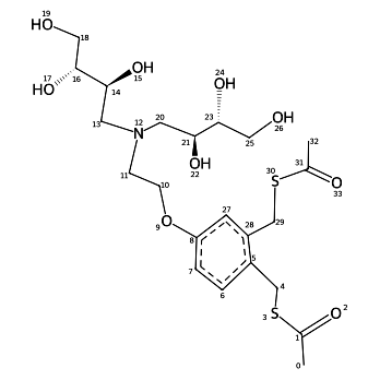 CC(=O)SCc1ccc(OCCN(C[C@H](O)[C@H](O)CO)C[C@H](O)[C@H](O)CO)cc1CSC(C)=O